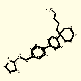 CCCCCC1(c2ccc(-c3ccc(COC4CCCO4)cc3)cc2)CCCCC1